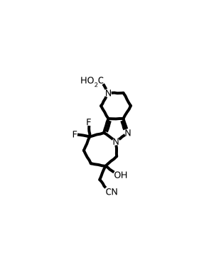 N#CCC1(O)CCC(F)(F)c2c3c(nn2C1)CCN(C(=O)O)C3